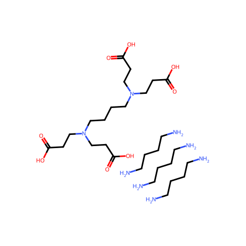 NCCCCN.NCCCCN.NCCCCN.O=C(O)CCN(CCCCN(CCC(=O)O)CCC(=O)O)CCC(=O)O